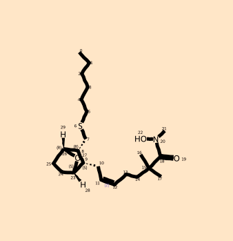 CCCCCCSC[C@@H]1[C@H](C/C=C\CCC(C)(C)C(=O)N(C)O)[C@@H]2CC[C@H]1O2